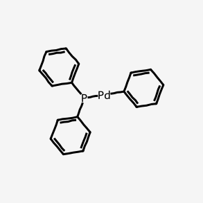 c1cc[c]([Pd][P](c2ccccc2)c2ccccc2)cc1